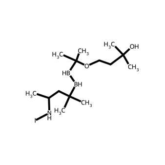 CC(CC(C)(C)BBC(C)(C)OCCC(C)(C)O)NI